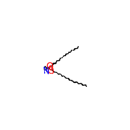 CCCCCC=CCC=CCCCCCCCCOC(OCCCCCCCCC=CCC=CCCCCC)[C@H]1CCCN1C